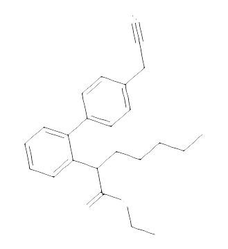 CCCCCC(C(=O)OCC)c1ccccc1-c1ccc(CC#N)cc1